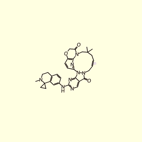 CN1CCc2ccc(Nc3ncc4c(=O)n5n(c4n3)-c3ccc4c(n3)N(CC(C)(C)C/C=C\C5)C(=O)CO4)cc2C12CC2